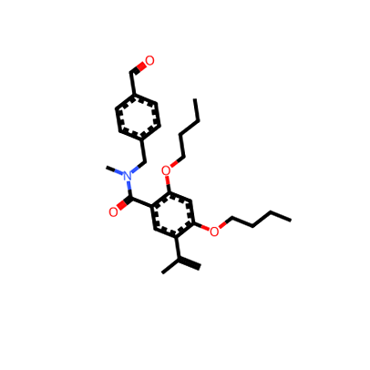 C=C(C)c1cc(C(=O)N(C)Cc2ccc(C=O)cc2)c(OCCCC)cc1OCCCC